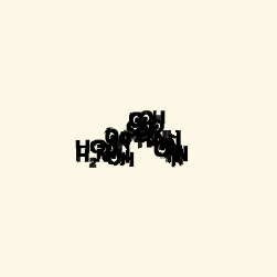 CC(NC(=O)Cn1cnnn1)[C@H]1C(=O)N2C(C(=O)O)=C(S[C@@H]3CN[C@H](C(=O)N4CC(O)[C@@H](N)C4CO)C3)[C@H](C)[C@H]12